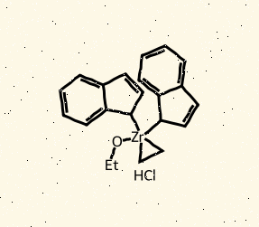 CC[O][Zr]1([CH]2C=Cc3ccccc32)([CH]2C=Cc3ccccc32)[CH2][CH2]1.Cl